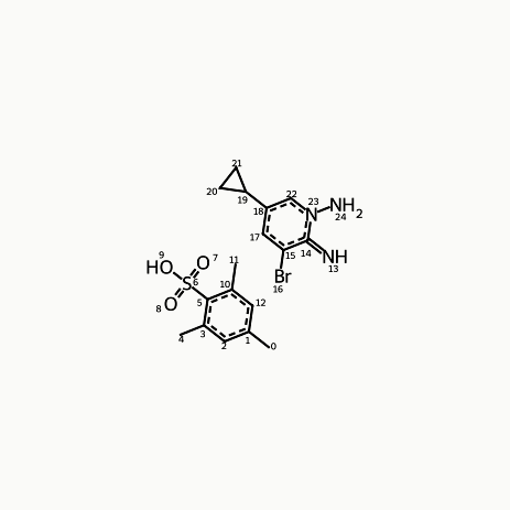 Cc1cc(C)c(S(=O)(=O)O)c(C)c1.N=c1c(Br)cc(C2CC2)cn1N